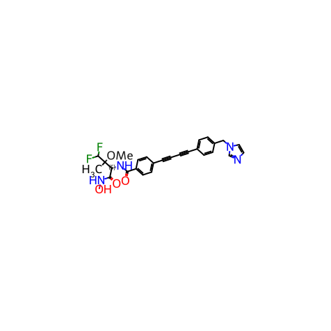 COC(C)(C(F)F)[C@H](NC(=O)c1ccc(C#CC#Cc2ccc(Cn3ccnc3)cc2)cc1)C(=O)NO